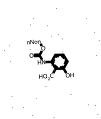 CCCCCCCCCOC(=O)Nc1cccc(O)c1C(=O)O